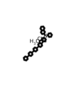 CC1(C)c2cc(-c3ccc(-c4ccc(-c5ccccc5)cc4)cc3)ccc2-c2ccc(N(c3ccccc3)c3ccc4ccccc4c3)cc21